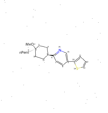 CCCCC[C@]1(OC)CC[C@@H](c2ccc(-c3cccs3)cn2)CC1